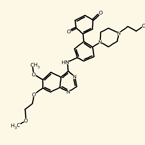 COCCOc1cc2ncnc(Nc3ccc(N4CCN(CCO)CC4)c(C4=CC(=O)C=CC4=O)c3)c2cc1OC